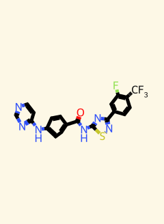 O=C(Nc1nc(-c2ccc(C(F)(F)F)c(F)c2)ns1)c1ccc(Nc2ccncn2)cc1